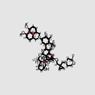 COc1ccc(CN(Cc2ccc(OC)cc2)c2cc(-c3nc4c5c(nc(OCC6(CN7CCO[C@H](C)C7)CC6)nc5c3F)N3C[C@H]5CC[C@@H]([C@H]3[C@H](C)O4)N5C(=O)OC(C)(C)C)c(C(F)(F)F)c(C)c2F)cc1